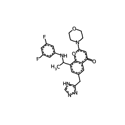 CC(Nc1cc(F)cc(F)c1)c1cc(Cc2nnc[nH]2)cc2c(=O)cc(N3CCOCC3)oc12